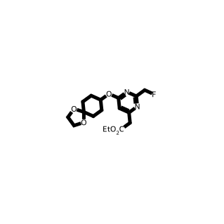 CCOC(=O)Cc1cc(OC2CCC3(CC2)OCCO3)nc(CF)n1